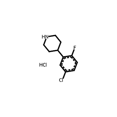 Cl.Fc1ccc(Cl)cc1C1CCNCC1